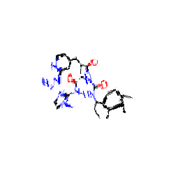 CCC(NC(=O)N1C(=O)[C@H](Cc2ccnc(N)c2)[C@H]1C(=O)N(C)c1nccn1C)c1ccc(C)c(C)c1C